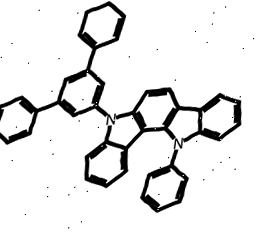 C1=CC(c2cc(-c3ccccc3)cc(-n3c4ccccc4c4c3ccc3c5ccccc5n(-c5ccccc5)c34)c2)=CCC1